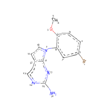 COc1ccc(Br)cc1-n1ccc2cnc(N)nc21